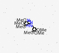 COc1cc(CNc2ncnc3c(OC)c(OC)c(OC)cc23)cc(OC)c1OC